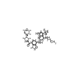 C=CCNc1cc(Nc2ccc(C(=O)N3CC[C@H](N4CCOCC4)C3)c3c2OCC3)nc2[nH]cc(C(F)(F)F)c12